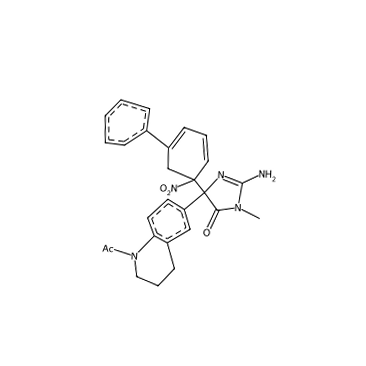 CC(=O)N1CCCc2cc(C3(C4([N+](=O)[O-])C=CC=C(c5ccccc5)C4)N=C(N)N(C)C3=O)ccc21